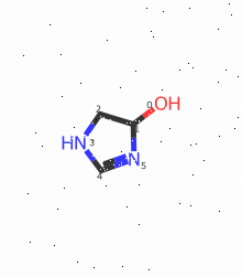 OC1CNC=N1